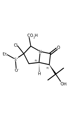 CC[S+]([O-])C1(Cl)C[C@@H]2[C@H](C(C)(C)O)C(=O)N2C1C(=O)O